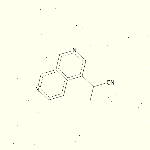 CC(C#N)c1cncc2cnccc12